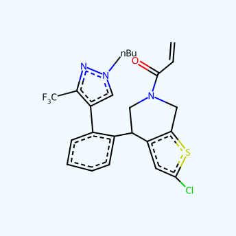 C=CC(=O)N1Cc2sc(Cl)cc2C(c2ccccc2-c2cn(CCCC)nc2C(F)(F)F)C1